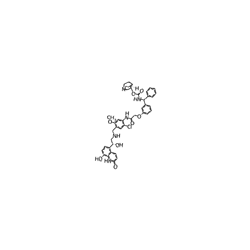 COc1cc(NC(=O)COc2cccc([C@@H](NC(=O)O[C@H]3CN4CCC3CC4)c3ccccc3)c2)c(Cl)cc1CNC[C@H](O)c1ccc(O)c2[nH]c(=O)ccc12